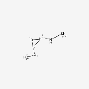 CNCC1OC1OC